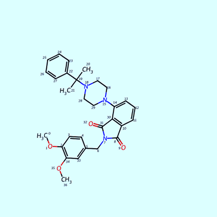 COc1ccc(CN2C(=O)c3cccc(N4CCN(C(C)(C)c5ccccc5)CC4)c3C2=O)cc1OC